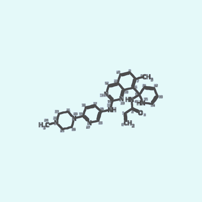 C=CC(=O)NC1(c2c(C)ccc3cnc(Nc4ccc(N5CCN(C)CC5)nc4)nc23)C=CC=CN1